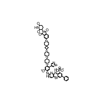 COc1cc(N2CCC(N3CCN(C4CC5(CCN(c6ccc7c(c6)C(=O)N(C6CCC(=O)NC6=O)C7=O)CC5)C4)CC3)CC2)c(-c2cnn(C)c2)cc1Nc1ncc(Br)c(Nc2ccc(-c3ccccc3)cc2P(=O)(OC)OC)n1